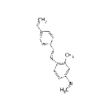 C=Cc1ccc(C=Nc2ccc(N=C)cc2C)cc1